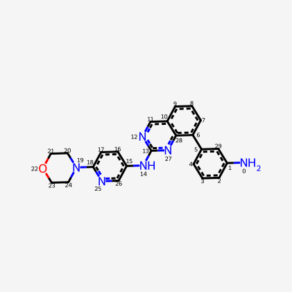 Nc1cccc(-c2cccc3cnc(Nc4ccc(N5CCOCC5)nc4)nc23)c1